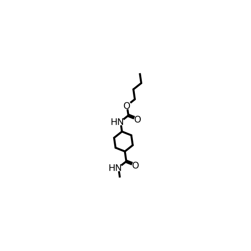 CCCCOC(=O)NC1CCC(C(=O)NC)CC1